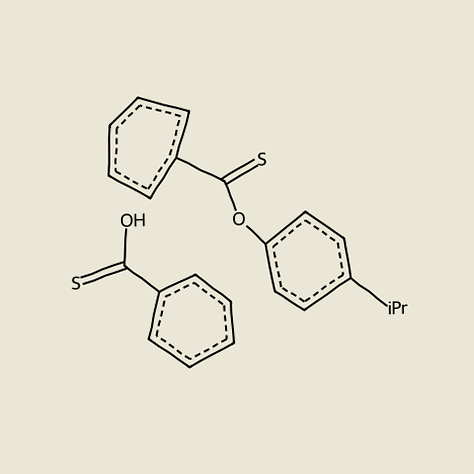 CC(C)c1ccc(OC(=S)c2ccccc2)cc1.OC(=S)c1ccccc1